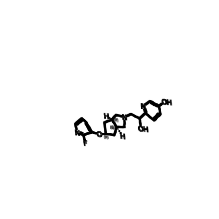 Oc1ccc(C(O)CN2C[C@H]3C[C@@H](Oc4cccnc4F)C[C@H]3C2)nc1